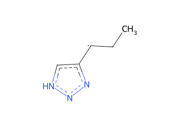 CC[CH]c1c[nH]nn1